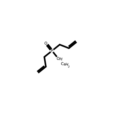 C=CCP(=O)(O)CC=C.[CaH2]